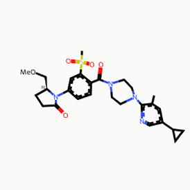 COC[C@@H]1CCC(=O)N1c1ccc(C(=O)N2CCN(c3ncc(C4CC4)cc3C)CC2)c(S(C)(=O)=O)c1